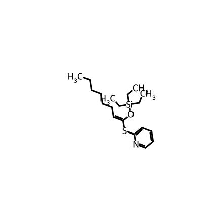 CCCCCC/C=C(\O[Si](CC)(CC)CC)Sc1ccccn1